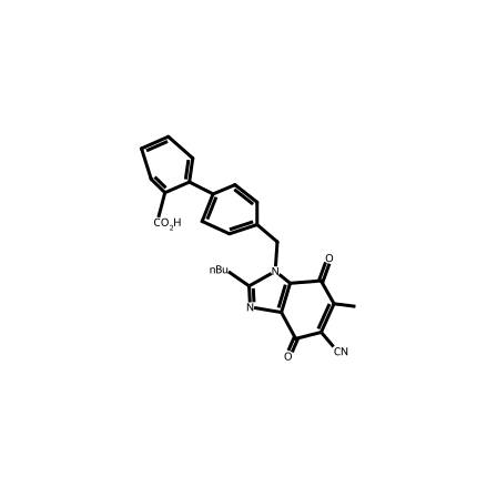 CCCCc1nc2c(n1Cc1ccc(-c3ccccc3C(=O)O)cc1)C(=O)C(C)=C(C#N)C2=O